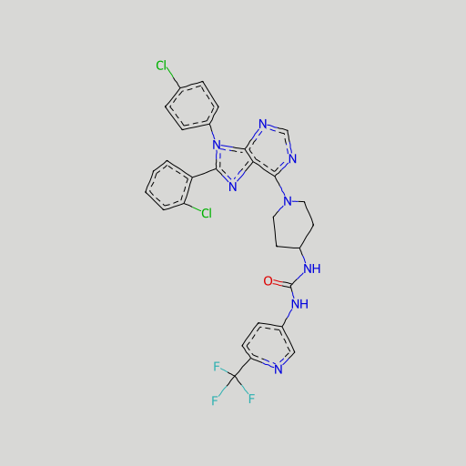 O=C(Nc1ccc(C(F)(F)F)nc1)NC1CCN(c2ncnc3c2nc(-c2ccccc2Cl)n3-c2ccc(Cl)cc2)CC1